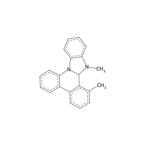 Cc1cccc2c1C1N(C)c3ccccc3N1c1ccccc1-2